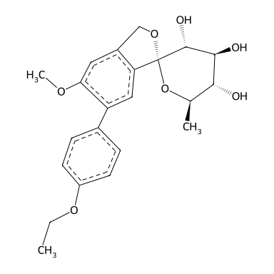 CCOc1ccc(-c2cc3c(cc2OC)CO[C@]32O[C@H](C)[C@@H](O)[C@H](O)[C@H]2O)cc1